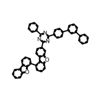 c1ccc(-c2cccc(-c3ccc(-c4nc(-c5ccccc5)nc(-c5ccc6c(c5)oc5cccc(-c7cccc8c7oc7ccccc78)c56)n4)cc3)c2)cc1